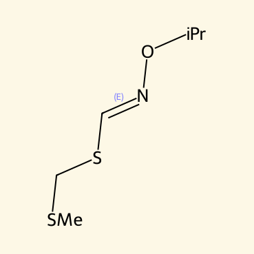 CSCS/C=N/OC(C)C